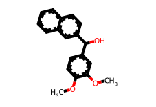 COc1ccc(C(O)c2ccc3ccccc3c2)cc1OC